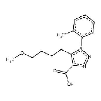 COCCCCc1c(C(=O)O)nnn1-c1ccccc1C